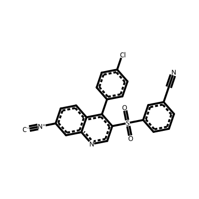 [C-]#[N+]c1ccc2c(-c3ccc(Cl)cc3)c(S(=O)(=O)c3cccc(C#N)c3)cnc2c1